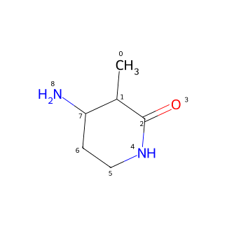 CC1C(=O)NCCC1N